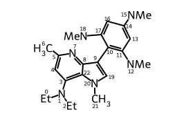 CCN(CC)c1cc(C)nc2c(-c3c(NC)cc(NC)cc3NC)cn(C)c12